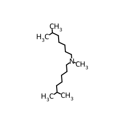 CC(C)CCCCCN(C)CCCCCC(C)C